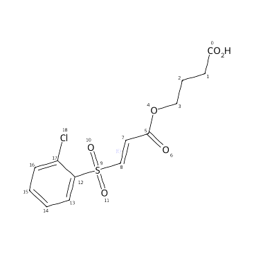 O=C(O)CCCOC(=O)/C=C/S(=O)(=O)c1ccccc1Cl